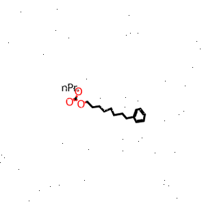 CCCOC(=O)OCCCCCCCCc1ccccc1